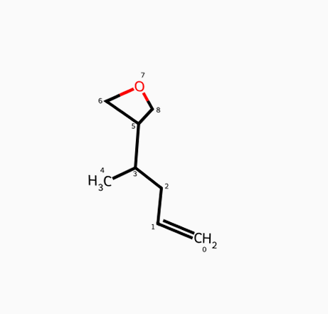 C=CCC(C)C1COC1